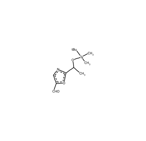 CC(O[Si](C)(C)C(C)(C)C)c1ncc(C=O)o1